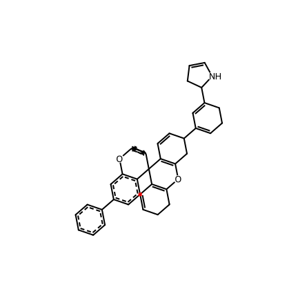 C1=CC2=C(CC1)OC1=C(C=CC(C3=CCCC(C4CC=CN4)=C3)C1)C21c2ccccc2Oc2cc(-c3ccccc3)ccc21